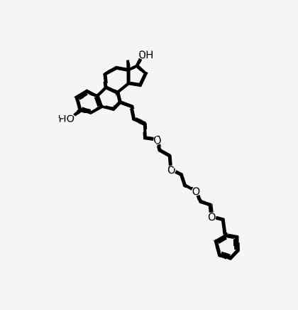 CC12CCC3c4ccc(O)cc4CC(CCCCOCCOCCOCCOCc4ccccc4)C3C1CCC2O